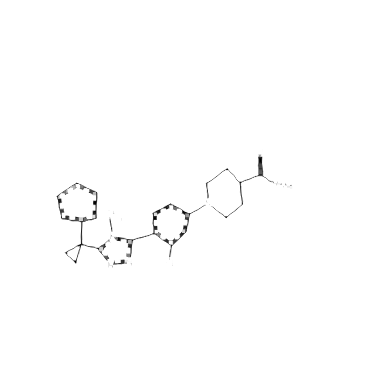 CNC(=O)C1CCN(c2ccc(-c3nnc(C4(c5ccccc5)CC4)n3C)c(Cl)c2)CC1